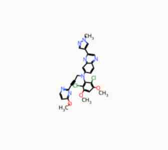 COc1ccnc(C#CCN(c2ccc3ncc(-c4cnn(C)c4)nc3c2)c2c(Cl)c(OC)cc(OC)c2Cl)n1